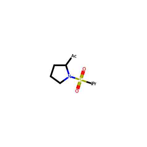 CC(=O)C1CCCN1S(=O)(=O)C(C)C